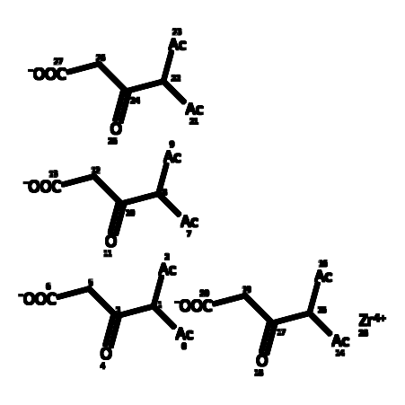 CC(=O)C(C(C)=O)C(=O)CC(=O)[O-].CC(=O)C(C(C)=O)C(=O)CC(=O)[O-].CC(=O)C(C(C)=O)C(=O)CC(=O)[O-].CC(=O)C(C(C)=O)C(=O)CC(=O)[O-].[Zr+4]